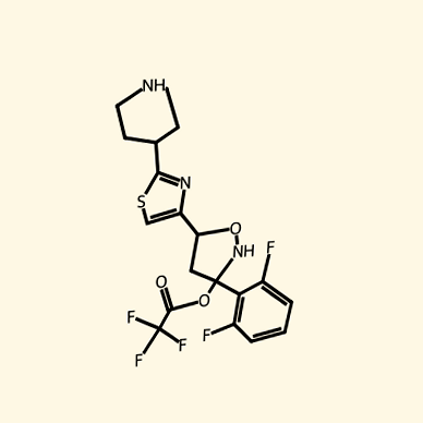 O=C(OC1(c2c(F)cccc2F)CC(c2csc(C3CCNCC3)n2)ON1)C(F)(F)F